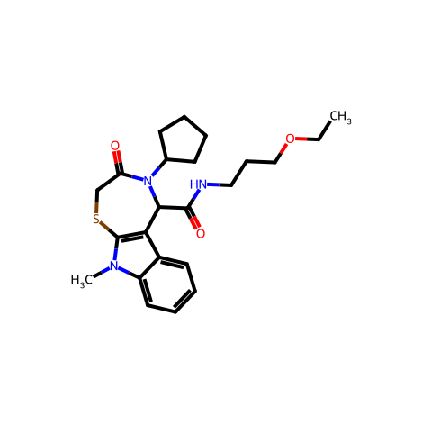 CCOCCCNC(=O)C1c2c(n(C)c3ccccc23)SCC(=O)N1C1CCCC1